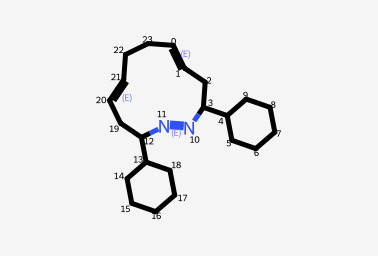 C1=C/CC(C2CCCCC2)/N=N/C(C2CCCCC2)C/C=C/CC/1